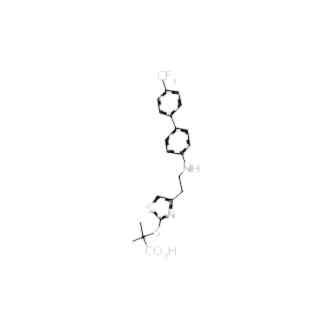 CC(C)(Sc1nc(CCNc2ccc(-c3ccc(C(F)(F)F)cc3)cc2)cs1)C(=O)O